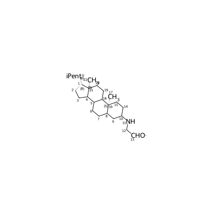 CCC[C@@H](C)[C@H]1CCC2C3CCC4CC(NC[C]=O)CC[C@]4(C)C3CC[C@@]21C